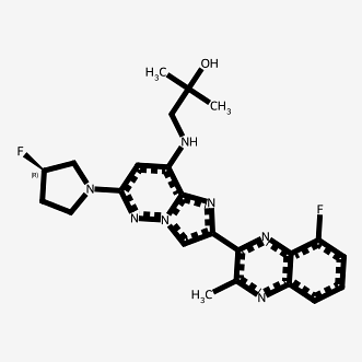 Cc1nc2cccc(F)c2nc1-c1cn2nc(N3CC[C@@H](F)C3)cc(NCC(C)(C)O)c2n1